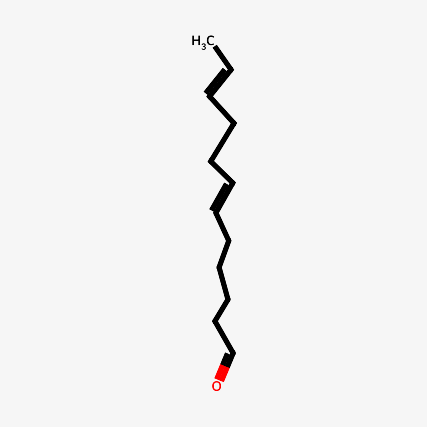 C/C=C/CC/C=C/CCCCC=O